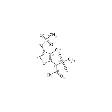 CS(=O)(=O)Oc1noc(C(C(=O)Cl)S(C)(=O)=O)c1Cl